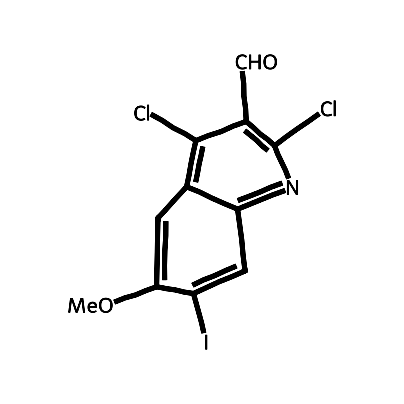 COc1cc2c(Cl)c(C=O)c(Cl)nc2cc1I